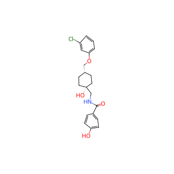 O=C(NC[C@]1(O)CC[C@@H](COc2cccc(Cl)c2)CC1)c1ccc(O)cc1